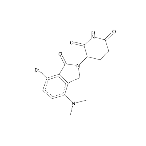 CN(C)c1ccc(Br)c2c1CN(C1CCC(=O)NC1=O)C2=O